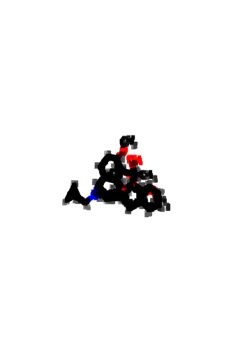 COc1ccc2c3c1OC1C4(OC)CCC5(CC4C(C)(O)C(I)c4ccccc4)C4[N@](CC6CC6)[C@]4(C2)C[C@]315